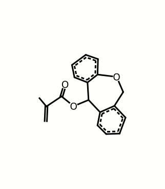 C=C(C)C(=O)OC1c2ccccc2COc2ccccc21